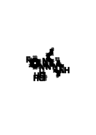 CCCc1cc(N2CC(C)NCC2C)nc(Nc2ccc(F)cc2)n1.Cl.Cl